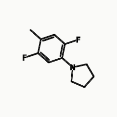 Cc1cc(F)c(N2CCCC2)cc1F